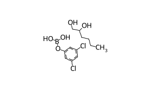 CCCCC(O)CO.OB(O)Oc1cc(Cl)cc(Cl)c1